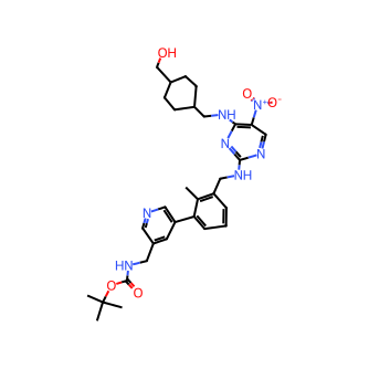 Cc1c(CNc2ncc([N+](=O)[O-])c(NCC3CCC(CO)CC3)n2)cccc1-c1cncc(CNC(=O)OC(C)(C)C)c1